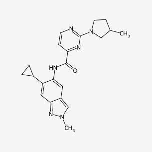 CC1CCN(c2nccc(C(=O)Nc3cc4cn(C)nc4cc3C3CC3)n2)C1